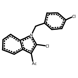 CC(=O)c1c(Cl)n(Cc2ccc(Cl)cc2)c2ccccc12